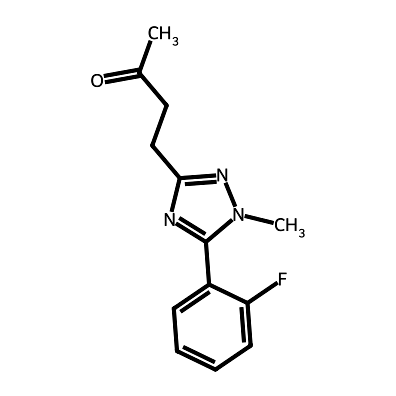 CC(=O)CCc1nc(-c2ccccc2F)n(C)n1